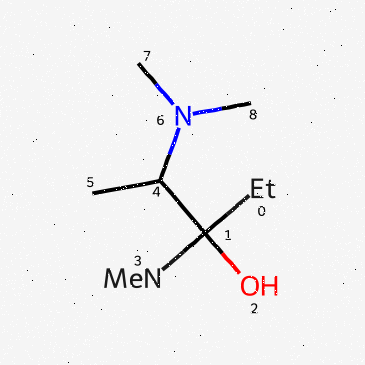 CCC(O)(NC)C(C)N(C)C